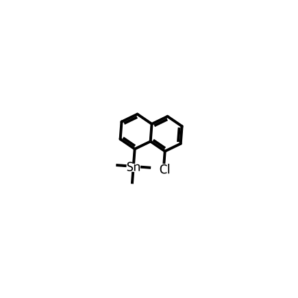 [CH3][Sn]([CH3])([CH3])[c]1cccc2cccc(Cl)c12